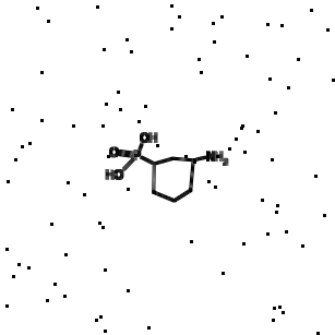 NC1CCCC(P(=O)(O)O)C1